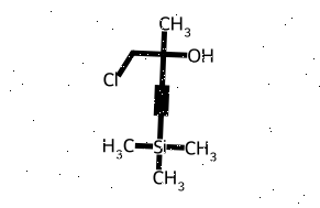 CC(O)(C#C[Si](C)(C)C)CCl